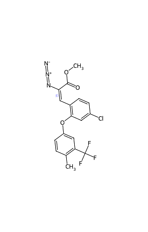 COC(=O)/C(=C\c1ccc(Cl)cc1Oc1ccc(C)c(C(F)(F)F)c1)N=[N+]=[N-]